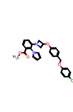 COC(=O)c1cccc(N2CC(Oc3ccc(COc4ccc(Cl)cc4)cc3)C2)c1-n1cccc1